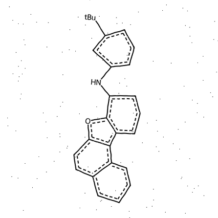 CC(C)(C)c1cccc(Nc2cccc3c2oc2ccc4ccccc4c23)c1